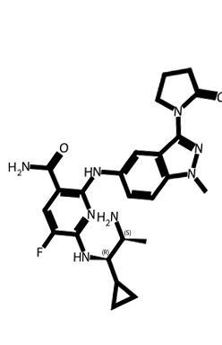 C[C@H](N)[C@H](Nc1nc(Nc2ccc3c(c2)c(N2CCCC2=O)nn3C)c(C(N)=O)cc1F)C1CC1